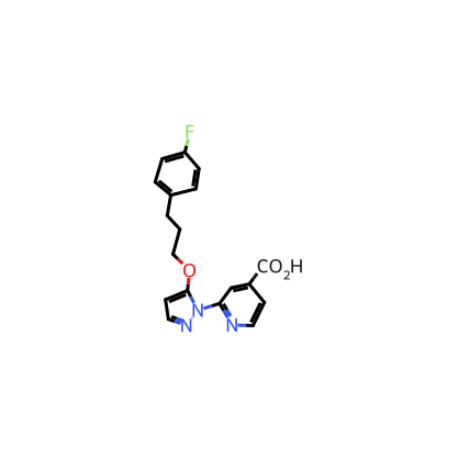 O=C(O)c1ccnc(-n2nccc2OCCCc2ccc(F)cc2)c1